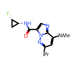 CNc1cc(C(C)C)nn2c(C(=O)N[C@@H]3C[C@@H]3F)cnc12